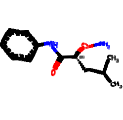 CC(C)C[C@@H](ON)C(=O)Nc1ccccc1